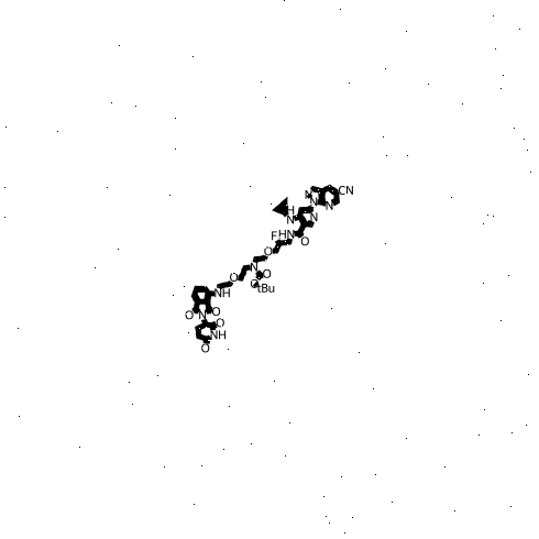 CC(C)(C)OC(=O)N(CCOCCNc1cccc2c1C(=O)N(C1CCC(=O)NC1=O)C2=O)CCOCC(F)CNC(=O)c1cnc(-n2ncc3cc(C#N)cnc32)cc1NC1CC1